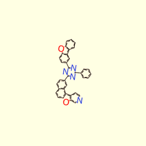 c1ccc(-c2nc(-c3ccc4oc5ccccc5c4c3)nc(-c3ccc4ccc5oc6cnccc6c5c4c3)n2)cc1